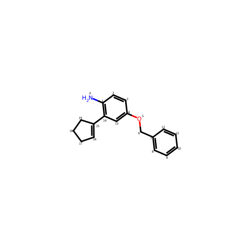 Nc1ccc(OCc2ccccc2)cc1C1=CCCC1